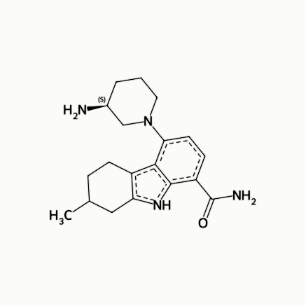 CC1CCc2c([nH]c3c(C(N)=O)ccc(N4CCC[C@H](N)C4)c23)C1